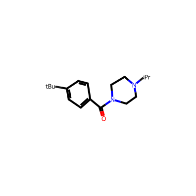 CC(C)N1CCN(C(=O)c2ccc(C(C)(C)C)cc2)CC1